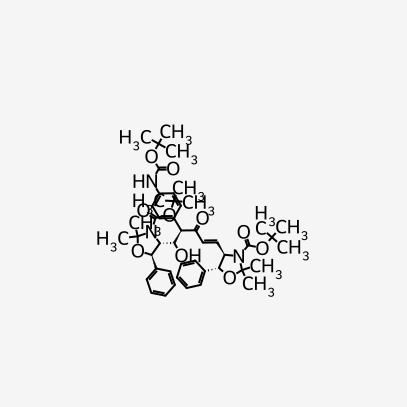 CC(C)(C)OC(=O)Nc1ccc([C@@H](C(=O)/C=C/[C@@H]2[C@@H](c3ccccc3)OC(C)(C)N2C(=O)OC(C)(C)C)C(O)[C@@H]2[C@@H](c3ccccc3)OC(C)(C)N2C(=O)OC(C)(C)C)cc1